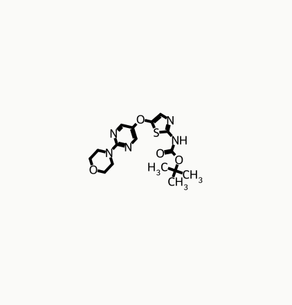 CC(C)(C)OC(=O)Nc1ncc(Oc2cnc(N3CCOCC3)nc2)s1